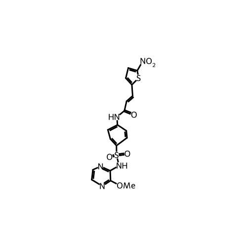 COc1nccnc1NS(=O)(=O)c1ccc(NC(=O)C=Cc2ccc([N+](=O)[O-])s2)cc1